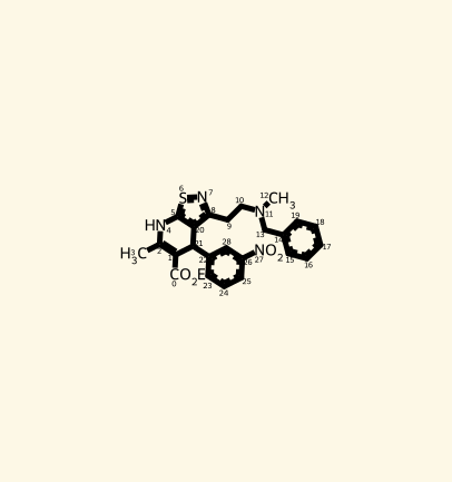 CCOC(=O)C1=C(C)Nc2snc(CCN(C)Cc3ccccc3)c2C1c1cccc([N+](=O)[O-])c1